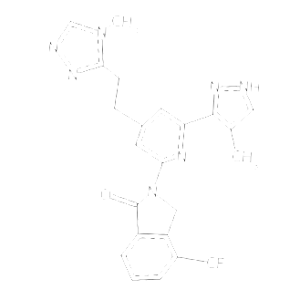 Cc1c[nH]nc1-c1cc(CCc2nncn2C)cc(N2Cc3c(cccc3C(F)(F)F)C2=O)n1